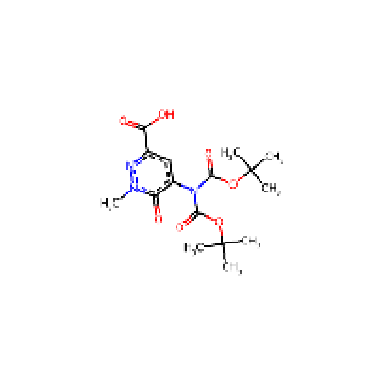 Cn1nc(C(=O)O)cc(N(C(=O)OC(C)(C)C)C(=O)OC(C)(C)C)c1=O